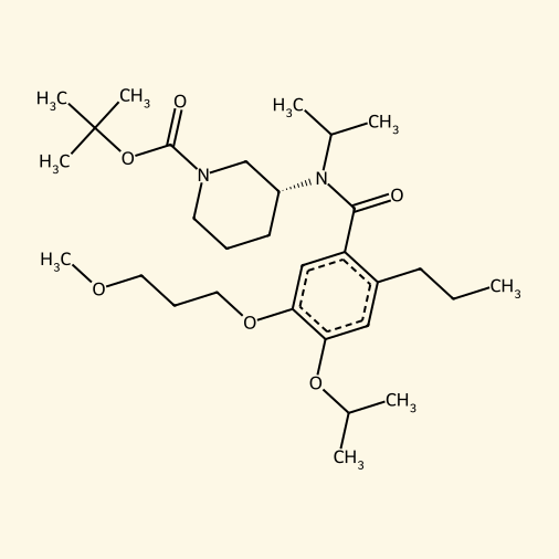 CCCc1cc(OC(C)C)c(OCCCOC)cc1C(=O)N(C(C)C)[C@@H]1CCCN(C(=O)OC(C)(C)C)C1